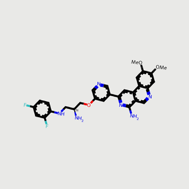 COc1cc2ncc3c(N)nc(-c4cncc(OC[C@@H](N)CNc5ccc(F)cc5F)c4)cc3c2cc1OC